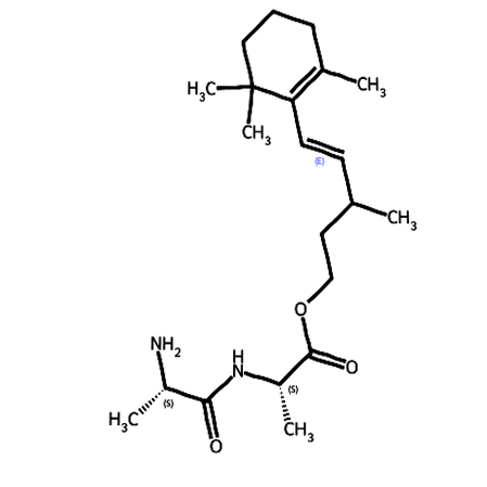 CC1=C(/C=C/C(C)CCOC(=O)[C@H](C)NC(=O)[C@H](C)N)C(C)(C)CCC1